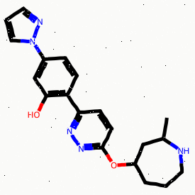 CC1CC(Oc2ccc(-c3ccc(-n4cccn4)cc3O)nn2)CCCN1